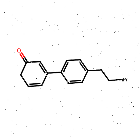 CC(C)CCc1ccc(C2=CC(=O)CC=C2)cc1